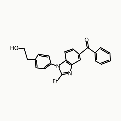 CCc1nc2cc(C(=O)c3ccccc3)ccc2n1-c1ccc(CCO)cc1